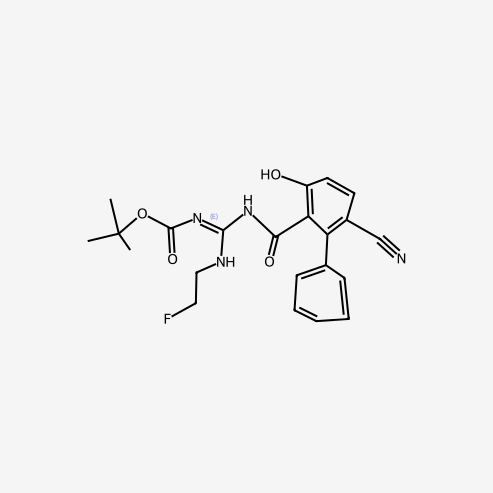 CC(C)(C)OC(=O)/N=C(\NCCF)NC(=O)c1c(O)ccc(C#N)c1-c1ccccc1